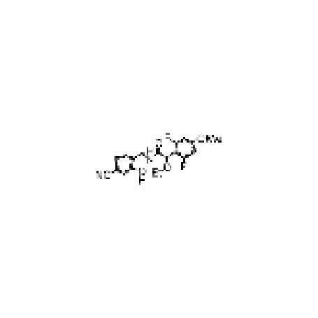 CCOC(C(=O)NCc1ccc(C#N)cc1O)c1c(F)cc(OC)cc1F